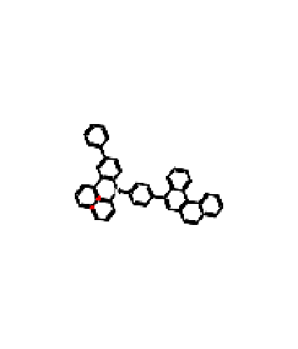 c1ccc(-c2ccc(N(c3ccccc3)c3ccc(-c4cc5ccc6ccccc6c5c5ccccc45)cc3)c(-c3ccccc3)c2)cc1